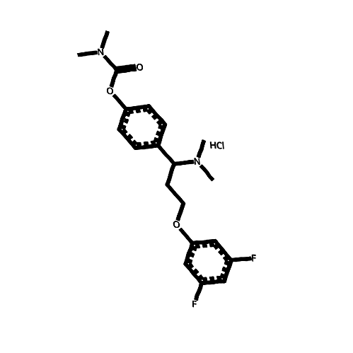 CN(C)C(=O)Oc1ccc(C(CCOc2cc(F)cc(F)c2)N(C)C)cc1.Cl